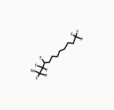 FC(CCCCCCCC(F)(F)F)C(F)(F)[C](F)(F)[Na]